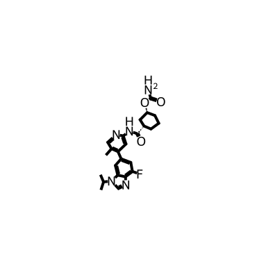 Cc1cnc(NC(=O)[C@H]2CCC[C@@H](OC(N)=O)C2)cc1-c1cc(F)c2ncn(C(C)C)c2c1